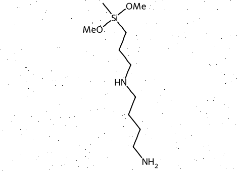 CO[Si](C)(CCCNCCCCN)OC